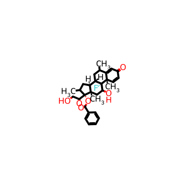 CC1C[C@H]2[C@@H]3CC(C)[C@](OC(=O)c4ccccc4)(C(=O)CO)[C@@]3(C)CC(O)[C@]2(F)[C@@]2(C)C=CC(=O)C=C12